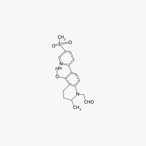 CCCOc1c(-c2ccc(S(C)(=O)=O)cn2)ccc2c1CCC(C)N2CC=O